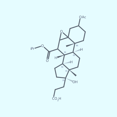 CC(=O)OC1CC[C@]2(C)[C@H]3CC[C@@]4(C)[C@@H](CC[C@]4(O)CCC(=O)O)[C@@H]3C(C(=O)OC(C)C)C3OC32C1